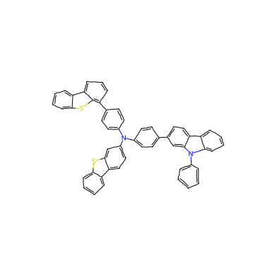 c1ccc(-n2c3ccccc3c3ccc(-c4ccc(N(c5ccc(-c6cccc7c6sc6ccccc67)cc5)c5ccc6c(c5)sc5ccccc56)cc4)cc32)cc1